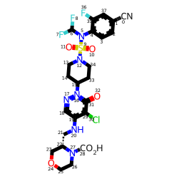 N#Cc1ccc(N(C(F)F)S(=O)(=O)N2CCC(n3ncc(NC[C@H]4COCCN4C(=O)O)c(Cl)c3=O)CC2)c(F)c1